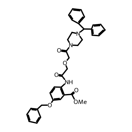 COC(=O)c1cc(OCc2ccccc2)ccc1NC(=O)COCC(=O)N1CCN(C(c2ccccc2)c2ccccc2)CC1